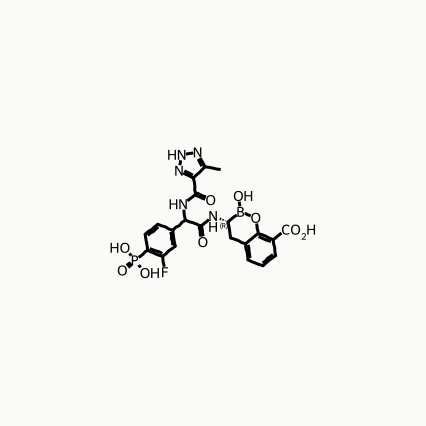 Cc1n[nH]nc1C(=O)NC(C(=O)N[C@H]1Cc2cccc(C(=O)O)c2OB1O)c1ccc(P(=O)(O)O)c(F)c1